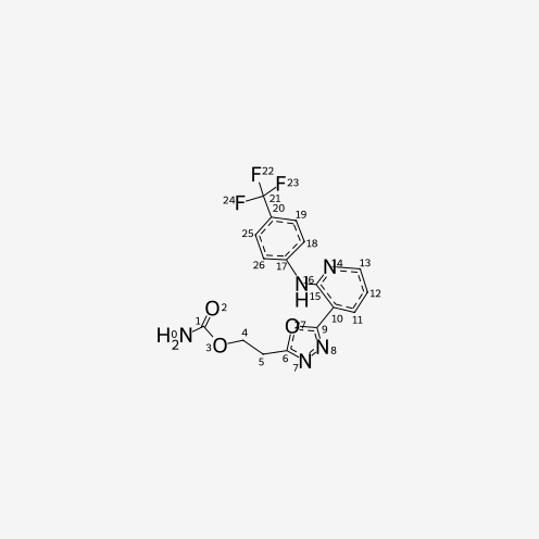 NC(=O)OCCc1nnc(-c2cccnc2Nc2ccc(C(F)(F)F)cc2)o1